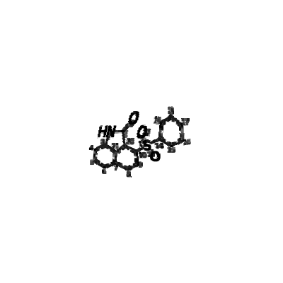 O=C1Nc2cccc3ccc(S(=O)(=O)c4ccccc4)c1c23